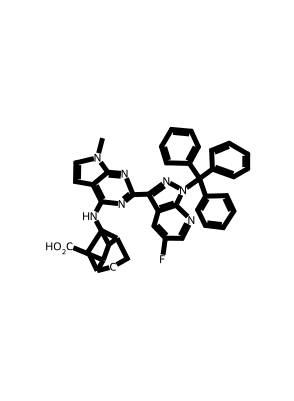 Cn1ccc2c(NC3C4CCC(CC4)C3C(=O)O)nc(-c3nn(C(c4ccccc4)(c4ccccc4)c4ccccc4)c4ncc(F)cc34)nc21